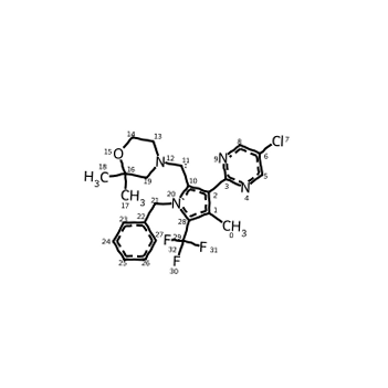 Cc1c(-c2ncc(Cl)cn2)c([C]N2CCOC(C)(C)C2)n(Cc2ccccc2)c1C(F)(F)F